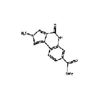 COC(=O)c1ccc2c(c1)[nH]c(=O)c1cn(C)nc12